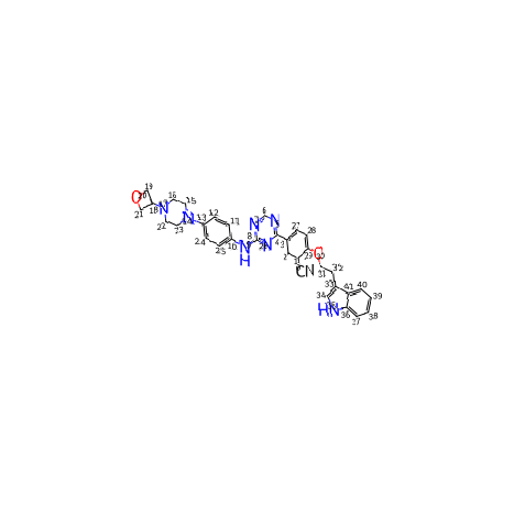 N#CC1CC(c2ncnc(Nc3ccc(N4CCN(C5COC5)CC4)cc3)n2)=CC=C1OCCc1c[nH]c2ccccc12